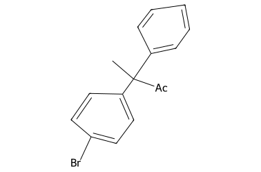 CC(=O)C(C)(c1ccccc1)c1ccc(Br)cc1